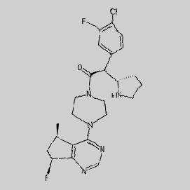 C[C@@H]1C[C@H](F)c2ncnc(N3CCN(C(=O)[C@@H](c4ccc(Cl)c(F)c4)[C@@H]4CCCN4)CC3)c21